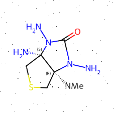 CN[C@]12CSC[C@@]1(N)N(N)C(=O)N2N